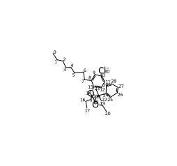 CCCCCCCCc1ccccc1O[N+](CC)(OCC)C(C)(C)c1ccccc1.[Cl-]